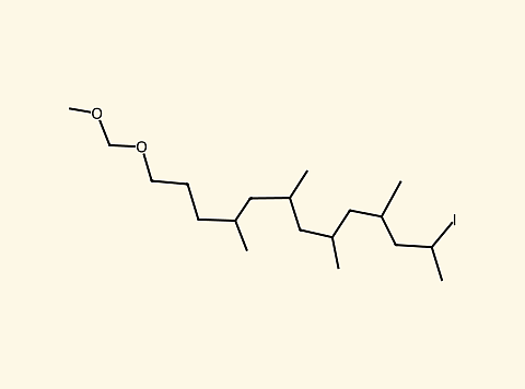 COCOCCCC(C)CC(C)CC(C)CC(C)CC(C)I